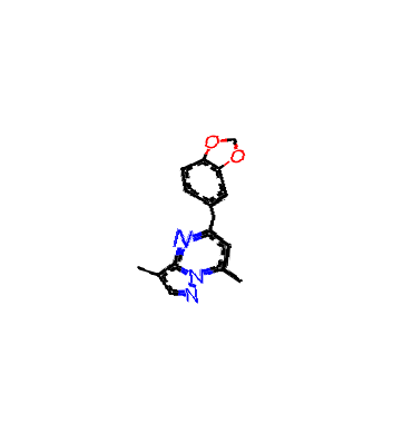 Cc1cnn2c(C)cc(-c3ccc4c(c3)OCO4)nc12